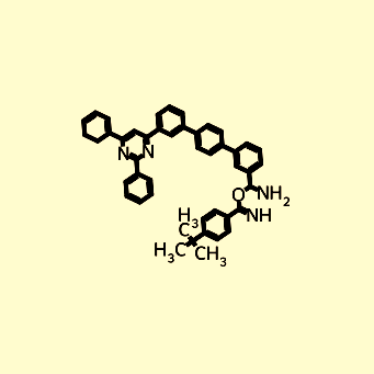 CC(C)(C)c1ccc(C(=N)OC(N)c2cccc(-c3ccc(-c4cccc(-c5cc(C6=CC=CCC6)nc(-c6ccccc6)n5)c4)cc3)c2)cc1